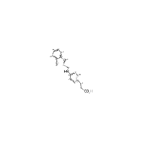 O=C(O)C=Cc1cnc(NCCOc2ccccc2Cl)cn1